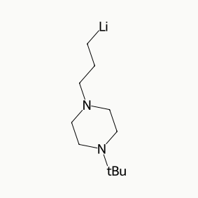 [Li][CH2]CCN1CCN(C(C)(C)C)CC1